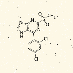 CS(=O)(=O)c1nc(-c2ccc(Cl)cc2Cl)c2[nH]cnc2n1